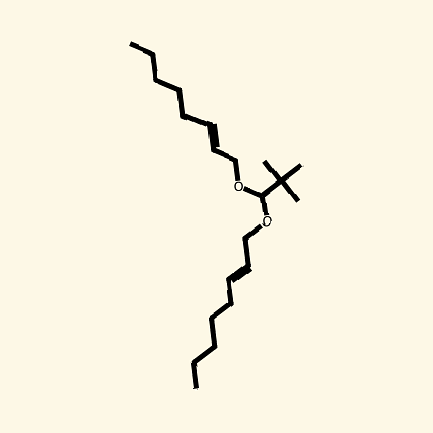 CCCCC/C=C/COC(OC/C=C/CCCCC)C(C)(C)C